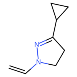 C=CN1CCC(C2CC2)=N1